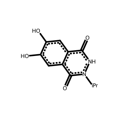 CC(C)n1[nH]c(=O)c2cc(O)c(O)cc2c1=O